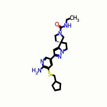 CCNC(=O)N1CC[C@@]2(CCn3nc(-c4cnc(N)c(SCC5CCCC5)c4)cc32)C1